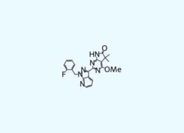 COc1nc(-c2nn(Cc3ccccc3F)c3ncccc23)nc2c1C(C)(C)C(=O)N2